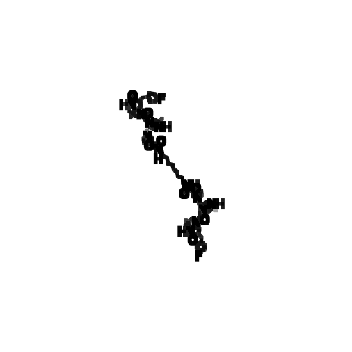 C[C@@H]1CN(CC(=O)N2CC(C)(C)c3[nH]c(=O)c(Cc4ccc(F)cc4)cc32)[C@@H](CN2CCO[C@H](C(=O)NCCCCCCCCCCNC(=O)[C@@H]3CN(C[C@H]4CN[C@H](C)CN4CC(=O)N4CC(C)(C)c5[nH]c(=O)c(Cc6ccc(F)cc6)cc54)CCO3)C2)CN1